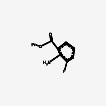 CC(C)OC(=O)c1cccc(F)c1N